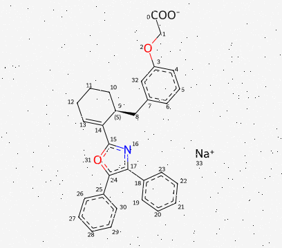 O=C([O-])COc1cccc(C[C@@H]2CCCC=C2c2nc(-c3ccccc3)c(-c3ccccc3)o2)c1.[Na+]